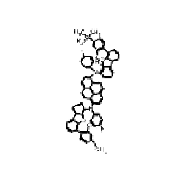 Cc1cc(C[SiH3])ccc1-c1cccc2c1oc1c(N(c3ccc(F)cc3)c3ccc4ccc5c(N(c6ccc(F)cc6)c6cccc7c6oc6c(-c8ccc([Si](C)(C)C)cc8C)cccc67)ccc6ccc3c4c65)cccc12